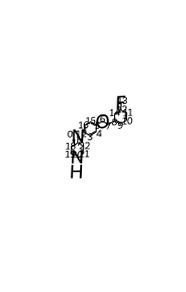 CN(c1ccc(OCc2cccc(F)c2)cc1)C1CCNCC1